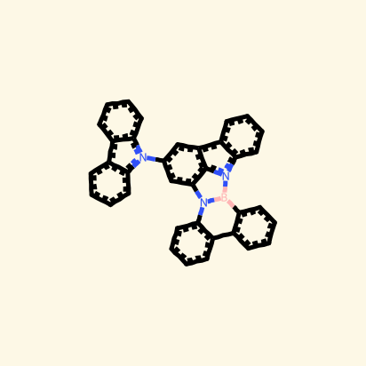 c1ccc2c(c1)B1N(c3ccccc3-2)c2cc(-n3c4ccccc4c4ccccc43)cc3c4ccccc4n1c23